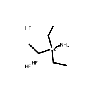 C[CH2][Ga-]([NH2])([CH2]C)[CH2]C.F.F.F